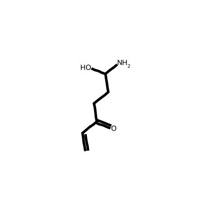 C=CC(=O)CCC(N)O